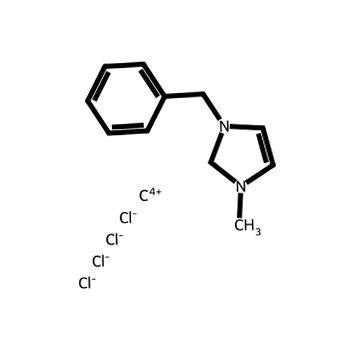 CN1C=CN(Cc2ccccc2)C1.[C+4].[Cl-].[Cl-].[Cl-].[Cl-]